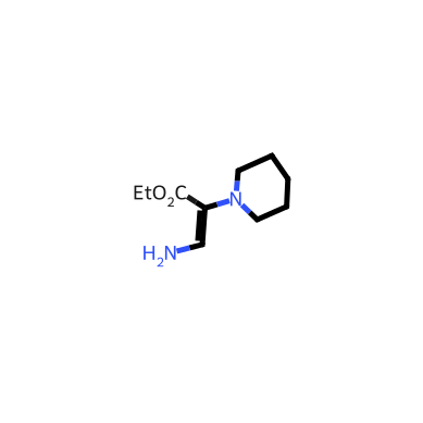 CCOC(=O)C(=CN)N1CCCCC1